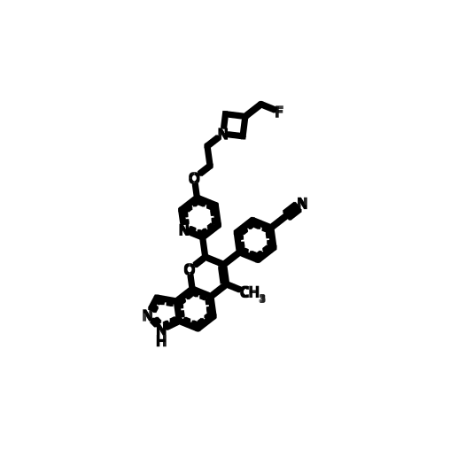 CC1=C(c2ccc(C#N)cc2)C(c2ccc(OCCN3CC(CF)C3)cn2)Oc2c1ccc1[nH]ncc21